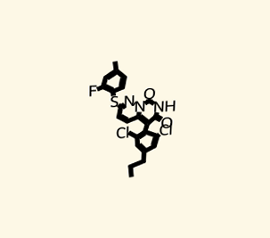 CCCc1cc(Cl)c(-c2c(=O)[nH]c(=O)n3nc(Sc4ccc(C)cc4F)ccc23)c(Cl)c1